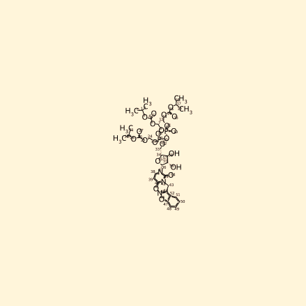 CC(C)OC(=O)OCOP(=O)(OCOC(=O)OC(C)C)OP(=O)(OCOC(=O)OC(C)C)OC[C@H]1O[C@@H](n2ccc(=O)n(Cc3noc4ccccc34)c2=O)[C@@H](O)C1O